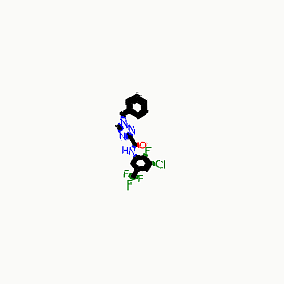 O=C(Nc1cc(C(F)(F)F)cc(Cl)c1F)c1ncn(Cc2ccccc2)n1